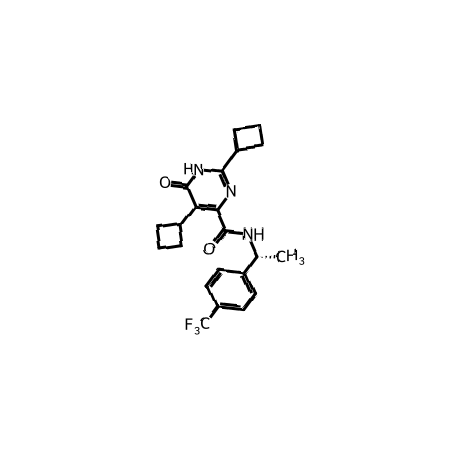 C[C@@H](NC(=O)c1nc(C2CCC2)[nH]c(=O)c1C1CCC1)c1ccc(C(F)(F)F)cc1